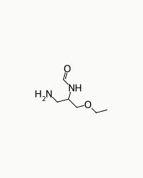 CCOCC(CN)NC=O